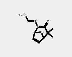 CCCCCCCCON1C(=O)C(C)(C)C2C=CC1O2